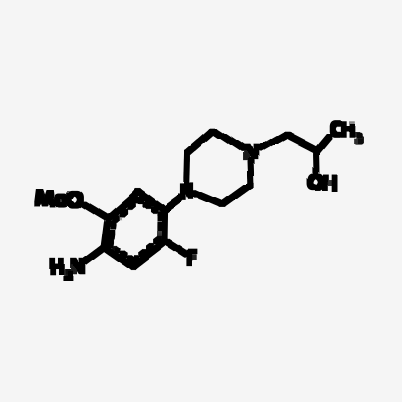 COc1cc(N2CCN(CC(C)O)CC2)c(F)cc1N